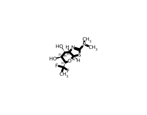 CN(C)C1=N[C@@H]2[C@@H](O)[C@H](O)[C@@H](C(C)(F)F)O[C@@H]2S1